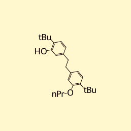 CCCOc1cc(CCc2ccc(C(C)(C)C)c(O)c2)ccc1C(C)(C)C